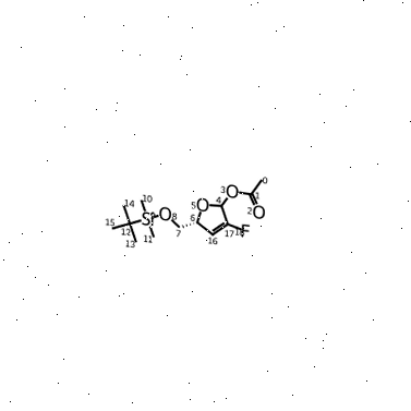 CC(=O)OC1O[C@@H](CO[Si](C)(C)C(C)(C)C)C=C1F